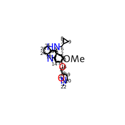 COc1cc2c(NCC3CC3)c3c(nc2cc1OCC1CCN(C)O1)CCC3